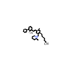 Cc1cc(CCCCCC#N)c(CN2CCCCC2C)cc1/C=C/c1cccc(-c2ccccc2)c1C#N